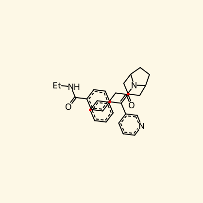 CCNC(=O)c1ccc(C(=C2CC3CCC(C2)N3C(=O)Cc2ccccc2)c2cccnc2)cc1